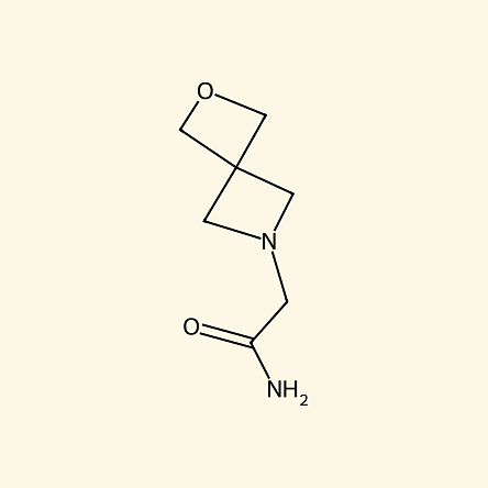 NC(=O)CN1CC2(COC2)C1